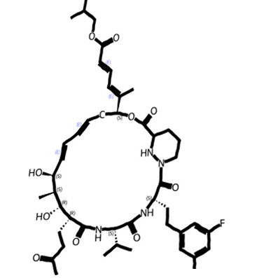 CC(=O)CC[C@H]1C(=O)N[C@@H](C(C)C)C(=O)N[C@@H](CCc2cc(O)cc(F)c2)C(=O)N2CCCC(N2)C(=O)O[C@H](/C(C)=C/C=C/C(=O)OCC(C)C)C/C=C/C=C/[C@H](O)[C@H](C)[C@H]1O